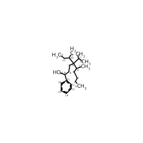 CCCCC(C)C(CCC(O)c1ccccc1)(C(C)C)C(C)CC